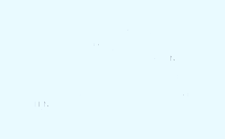 Nc1ccc(Oc2ccc(N=C=O)cc2)cc1